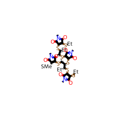 CCSC1=C(S[C@H](CC)[C@H](SC2=C(S[C@@H](C)[C@@H](CC)SC3=C(SCC)C(=O)N(C)C3=O)C(=O)N(C)C2=O)[C@@H](C)SC2=C(SC)C(=O)N(C)C2=O)C(=O)N(C)C1=O